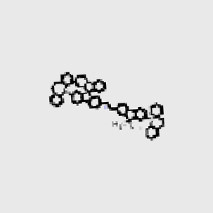 CC1(C)c2cc(/C=C/c3ccc4c(c3)C3(c5cc(N6c7ccccc7CCc7ccccc76)ccc5-4)c4ccccc4C4C=CC=CC43)ccc2-c2ccc(N3C4=C(C=CCC4)CCC34C=CC=CC4)cc21